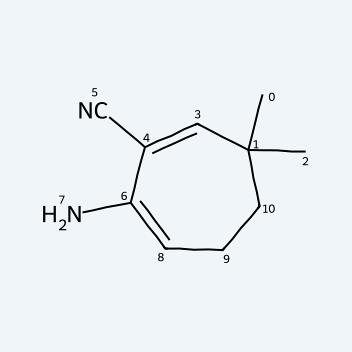 CC1(C)C=C(C#N)C(N)=CCC1